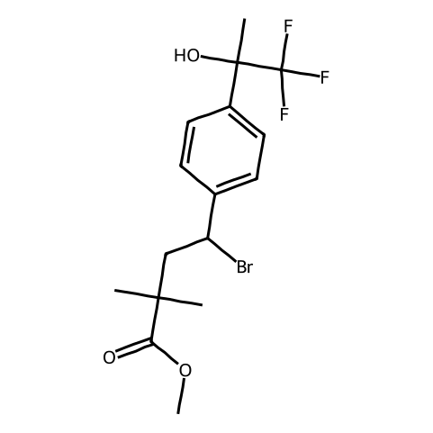 COC(=O)C(C)(C)CC(Br)c1ccc(C(C)(O)C(F)(F)F)cc1